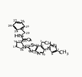 CCc1c(-n2cnc(C)c2)cnc2nc(N3CCCC3C(=O)NCc3ccccc3)sc12